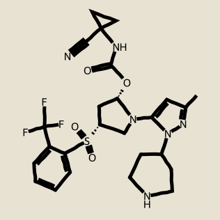 Cc1cc(N2C[C@H](S(=O)(=O)c3ccccc3C(F)(F)F)C[C@@H]2OC(=O)NC2(C#N)CC2)n(C2CCNCC2)n1